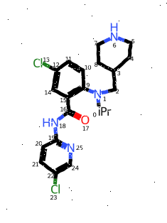 CC(C)N(CC1CCNCC1)c1ccc(Cl)cc1C(=O)Nc1ccc(Cl)cn1